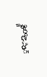 CC(C)(C)OC(=O)N1CCC(Oc2cccc(CSc3ccc(C#N)cc3F)n2)CC1